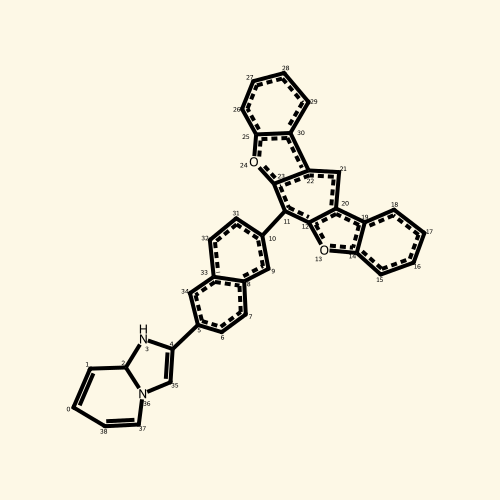 C1=CC2NC(c3ccc4cc(-c5c6oc7ccccc7c6cc6c5oc5ccccc56)ccc4c3)=CN2C=C1